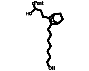 CCCCCC(O)CCC1C2CCC(O2)C1CCCCCCCO